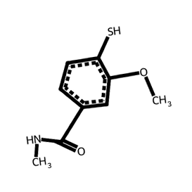 CNC(=O)c1ccc(S)c(OC)c1